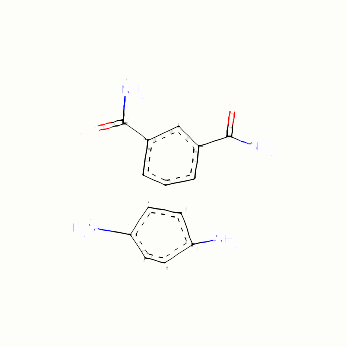 NC(=O)c1cccc(C(N)=O)c1.Nc1ccc(N)cc1